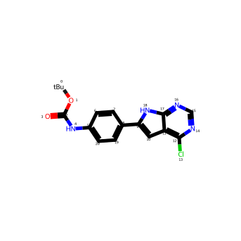 CC(C)(C)OC(=O)Nc1ccc(-c2cc3c(Cl)ncnc3[nH]2)cc1